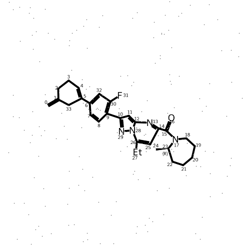 C=C1CCC=C(c2ccc(-c3cc4nc(C(=O)N5CCCCC[C@H]5C)cc(CC)n4n3)c(F)c2)C1